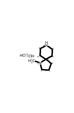 CN1CCCC12CCNCC2.Cl.Cl